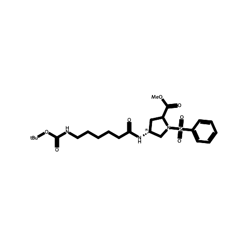 COC(=O)C1C[C@@H](NC(=O)CCCCCNC(=O)OC(C)(C)C)CN1S(=O)(=O)c1ccccc1